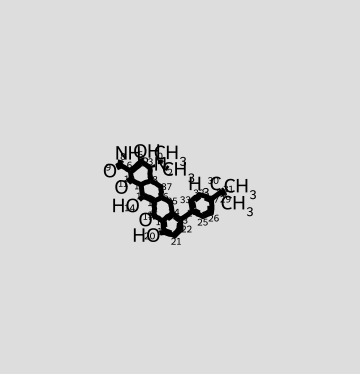 CN(C)[C@@H]1C(O)=C(C(N)=O)C(=O)C2C(O)=C3C(=O)c4c(O)ccc(-c5ccc(C(C)(C)C)cc5)c4CC3CC21